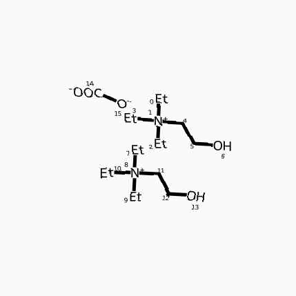 CC[N+](CC)(CC)CCO.CC[N+](CC)(CC)CCO.O=C([O-])[O-]